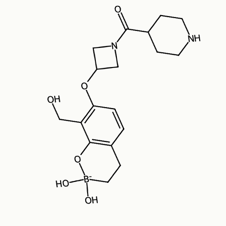 O=C(C1CCNCC1)N1CC(Oc2ccc3c(c2CO)O[B-](O)(O)CC3)C1